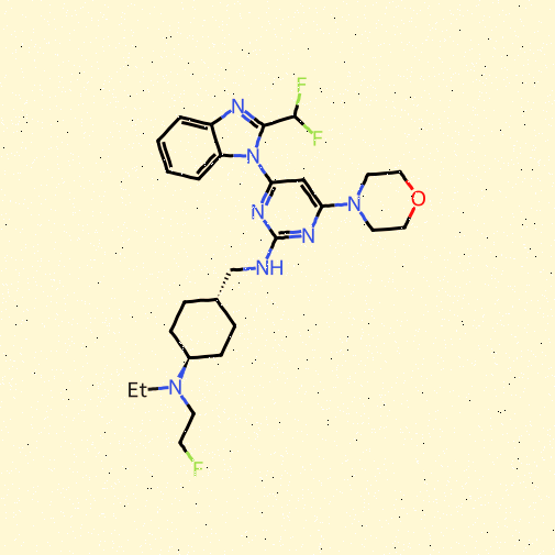 CCN(CCF)[C@H]1CC[C@H](CNc2nc(N3CCOCC3)cc(-n3c(C(F)F)nc4ccccc43)n2)CC1